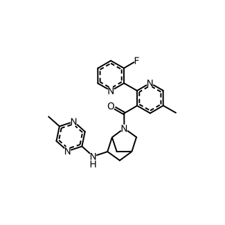 Cc1cnc(-c2ncccc2F)c(C(=O)N2CC3CC(Nc4cnc(C)cn4)C2C3)c1